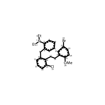 CCN(CC)c1ccccc1Cc1cccc(Cl)c1CCc1cc(Br)ccc1OC